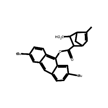 CC1=CC2CC1C(C(=O)O)C2C(=O)Oc1c2ccc(C(C)(C)C)cc2cc2ccc(C(C)(C)C)cc12